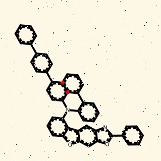 c1ccc(-c2ccc(-c3ccc(N(c4ccccc4-c4ccccc4)c4cccc5oc6cc7oc(-c8ccccc8)nc7cc6c45)cc3)cc2)cc1